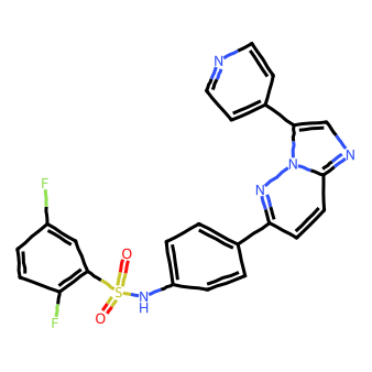 O=S(=O)(Nc1ccc(-c2ccc3ncc(-c4ccncc4)n3n2)cc1)c1cc(F)ccc1F